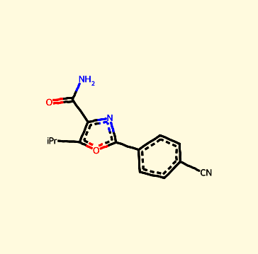 CC(C)c1oc(-c2ccc(C#N)cc2)nc1C(N)=O